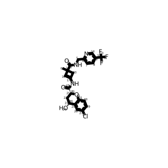 CC1(C(=O)NCc2ccc(C(F)(F)F)cn2)C=C(NC(=O)[C@H]2C[C@@H](O)c3cc(Cl)ccc3O2)C1